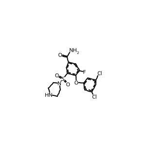 NC(=O)c1cc(F)c(Oc2cc(Cl)cc(Cl)c2)c(S(=O)(=O)N2CCNCC2)c1